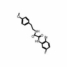 COc1ccc(CCNC(=O)C(=O)Nc2cc(F)ccc2Br)cc1